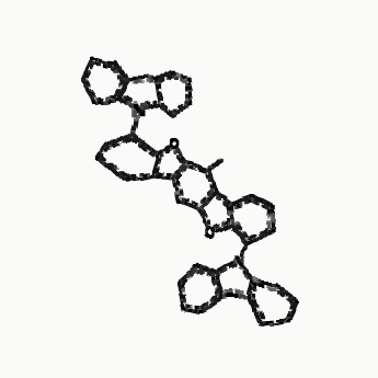 Cc1c2oc3c(-n4c5ccccc5c5ccccc54)cccc3c2cc2oc3c(-n4c5ccccc5c5ccccc54)cccc3c12